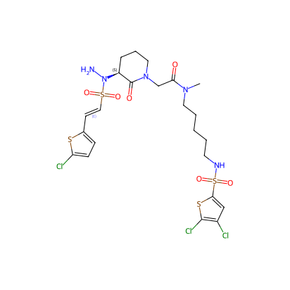 CN(CCCCCNS(=O)(=O)c1cc(Cl)c(Cl)s1)C(=O)CN1CCC[C@H](N(N)S(=O)(=O)/C=C/c2ccc(Cl)s2)C1=O